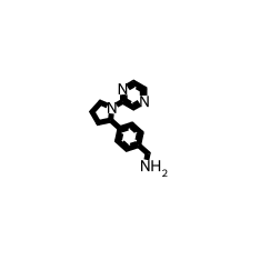 NCc1ccc(C2CCCN2c2cnccn2)cc1